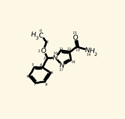 CCOC(c1ccccc1)n1cc(C(N)=O)cn1